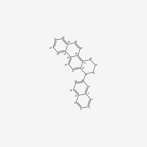 [c]1cccc2cc(C3CCCc4c3ccc3c4ccc4ccccc43)ccc12